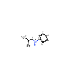 CCCCC(CC)CNc1ccccc1